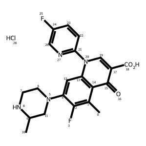 Cc1c(F)c(N2CCNC(C)C2)cc2c1c(=O)c(C(=O)O)cn2-c1ccc(F)cn1.Cl